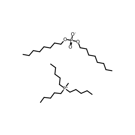 CCCCCCCCOP(=O)([O-])OCCCCCCCC.CCCCC[P+](C)(CCCCC)CCCCC